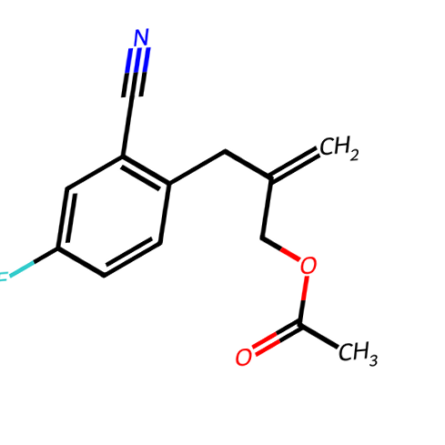 C=C(COC(C)=O)Cc1ccc(F)cc1C#N